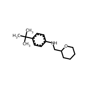 CC(C)(C)c1ccc(NCC2CCCCO2)cc1